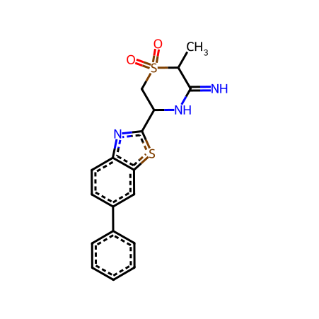 CC1C(=N)NC(c2nc3ccc(-c4ccccc4)cc3s2)CS1(=O)=O